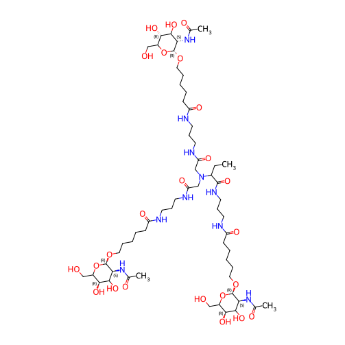 CCC(C(=O)NCCCNC(=O)CCCCCO[C@@H]1OC(CO)[C@H](O)C(O)[C@@H]1NC(C)=O)N(CC(=O)NCCCNC(=O)CCCCCO[C@@H]1OC(CO)[C@H](O)C(O)[C@@H]1NC(C)=O)CC(=O)NCCCNC(=O)CCCCCO[C@@H]1OC(CO)[C@H](O)C(O)[C@@H]1NC(C)=O